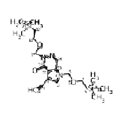 C#Cc1cn(COCC[Si](C)(C)C)c2cnn(COCC[Si](C)(C)C)c(=O)c12